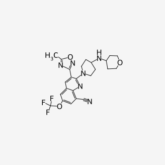 Cc1nc(-c2cc3cc(OC(F)(F)F)cc(C#N)c3nc2N2CCC(NC3CCOCC3)CC2)no1